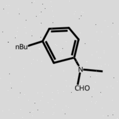 CCCCc1cccc(N(C)C=O)c1